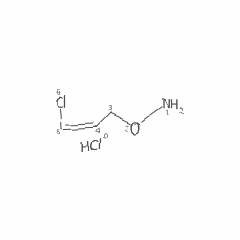 Cl.NOC/C=C\Cl